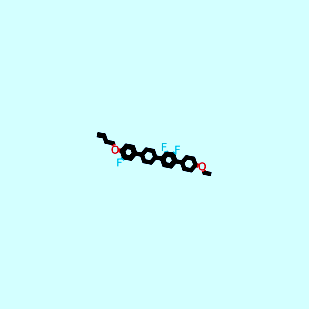 C=CCCOc1ccc(C2CCC(c3ccc(C4CCC(OCC)CC4)c(F)c3F)CC2)cc1F